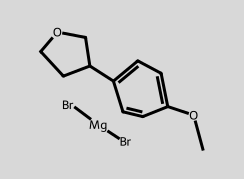 COc1ccc(C2CCOC2)cc1.[Br][Mg][Br]